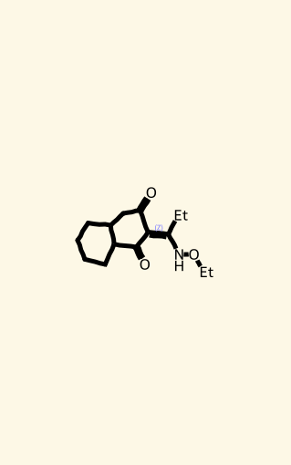 CCON/C(CC)=C1/C(=O)CC2CCCCC2C1=O